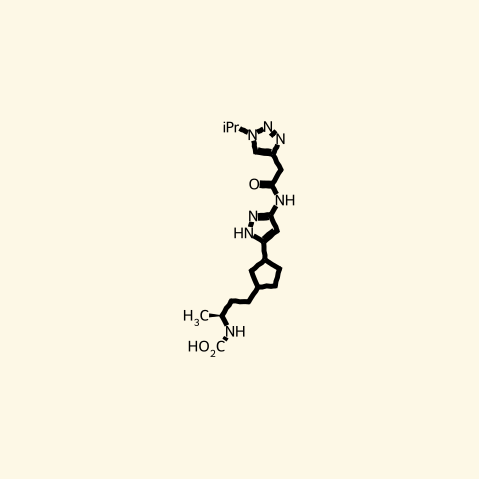 CC(C)n1cc(CC(=O)Nc2cc(C3CCC(CC[C@H](C)NC(=O)O)C3)[nH]n2)nn1